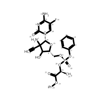 C#CC1(N)C(O)[C@@H](CO[P@](=O)(Oc2ccccc2)O[C@@H](C)C(=O)OC(C)C)O[C@H]1n1cc(F)c(N)nc1=O